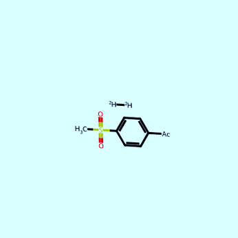 CC(=O)c1ccc(S(C)(=O)=O)cc1.[2H][2H]